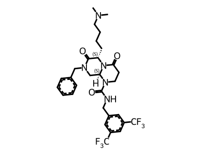 CN(C)CCCC[C@H]1C(=O)N(Cc2ccccc2)C[C@@H]2N(C(=O)NCc3cc(C(F)(F)F)cc(C(F)(F)F)c3)CCC(=O)N21